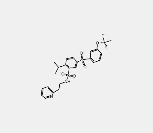 CC(C)c1ccc(S(=O)(=O)c2cccc(OC(F)(F)F)c2)cc1S(=O)(=O)NCCc1ccccn1